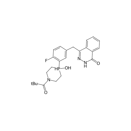 CC(C)(C)C(=O)N1CC[PH](O)(c2cc(Cc3n[nH]c(=O)c4ccccc34)ccc2F)CC1